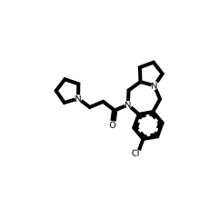 O=C(CCN1CCCC1)N1CC2CCCN2Cc2ccc(Cl)cc21